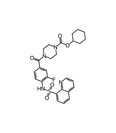 O=C(OC1CCCCC1)N1CCN(C(=O)c2ccc(NS(=O)(=O)c3cccc4cccnc34)c(F)c2)CC1